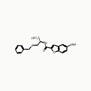 COc1ccc2oc(C(=O)N[C@@H](CSCc3ccccc3)C(=O)O)cc2c1